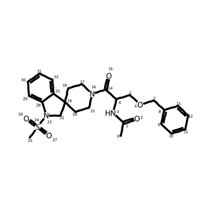 CC(=O)NC(COCc1ccccc1)C(=O)N1CCC2(CC1)CN(S(C)(=O)=O)c1ccccc12